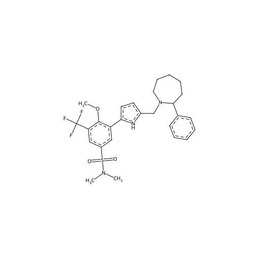 COc1c(-c2ccc(CN3CCCCCC3c3ccccc3)[nH]2)cc(S(=O)(=O)N(C)C)cc1C(F)(F)F